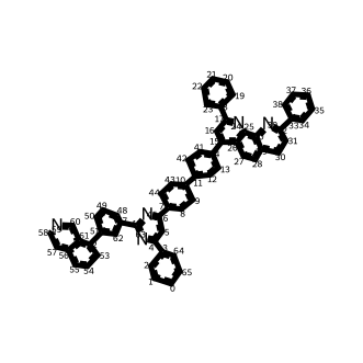 c1ccc(-c2cc(-c3ccc(-c4ccc(-c5cc(-c6ccccc6)nc6c5ccc5ccc(-c7ccccc7)nc56)cc4)cc3)nc(-c3cccc(-c4cccc5ccncc45)c3)n2)cc1